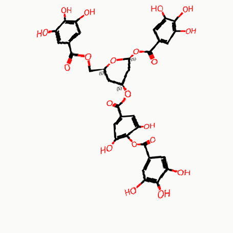 O=C(OC[C@@H]1C[C@H](OC(=O)c2cc(O)c(OC(=O)c3cc(O)c(O)c(O)c3)c(O)c2)C[C@H](OC(=O)c2cc(O)c(O)c(O)c2)O1)c1cc(O)c(O)c(O)c1